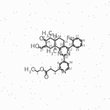 CCOC(=O)CCc1cc(-c2nc(-c3ccccc3F)c3c(n2)[C@]2(C)C/C(=C/O)C(=O)[C@H](C)[C@H]2CC3)ccn1